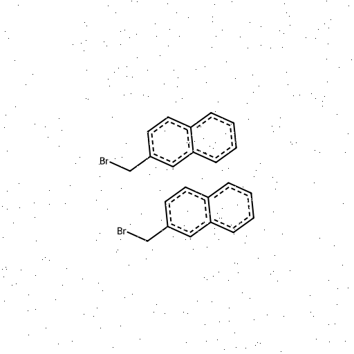 BrCc1[c]c2ccccc2cc1.BrCc1[c]c2ccccc2cc1